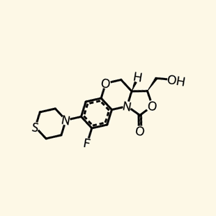 O=C1O[C@H](CO)[C@H]2COc3cc(N4CCSCC4)c(F)cc3N12